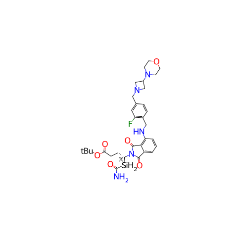 CC(C)(C)OC(=O)CC[C@@H]([SiH2]C(N)=O)N1C(=O)c2cccc(NCc3ccc(CN4CC(N5CCOCC5)C4)cc3F)c2C1=O